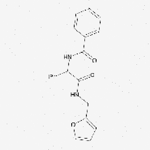 CC(C)C(NC(=O)c1ccccc1)C(=O)NCc1ccco1